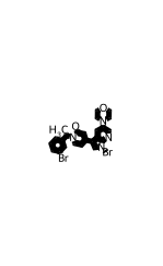 CC(c1cccc(Br)c1)n1ccc(-c2cn(Br)c3ncc(N4CCOCC4)cc23)cc1=O